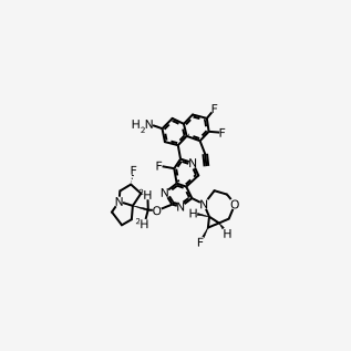 [2H]C([2H])(Oc1nc(N2CCOC[C@@H]3[C@@H](F)[C@@H]32)c2cnc(-c3cc(N)cc4cc(F)c(F)c(C#C)c34)c(F)c2n1)[C@@]12CCCN1C[C@H](F)C2